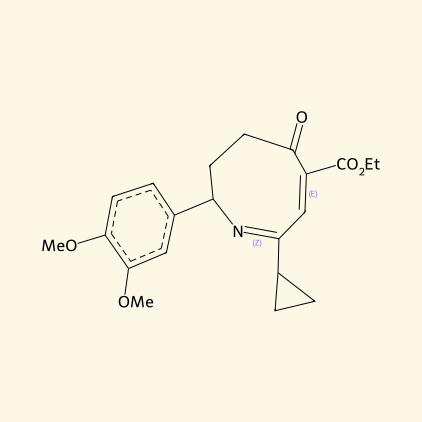 CCOC(=O)/C1=C/C(C2CC2)=N\C(c2ccc(OC)c(OC)c2)CCC1=O